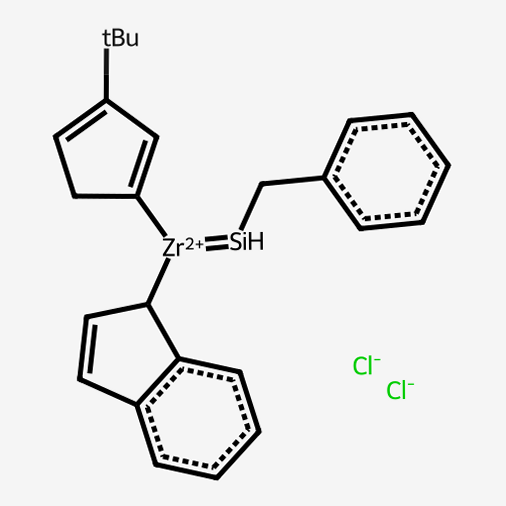 CC(C)(C)C1=CC[C]([Zr+2](=[SiH]Cc2ccccc2)[CH]2C=Cc3ccccc32)=C1.[Cl-].[Cl-]